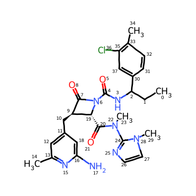 CCC(NC(=O)N1C(=O)[C@H](Cc2cc(C)nc(N)c2)[C@H]1C(=O)N(C)c1nccn1C)c1ccc(C)c(Cl)c1